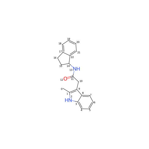 Cc1[nH]c2ccccc2c1CC(=O)NC1CCc2ccccc21